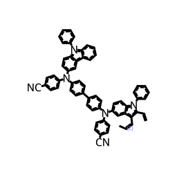 C=Cc1c(/C=C\C)c2cc(N(c3ccc(C#N)cc3)c3ccc(-c4ccc(N(c5ccc(C#N)cc5)c5ccc6c(c5)c5ccccc5n6-c5ccccc5)cc4)cc3)ccc2n1-c1ccccc1